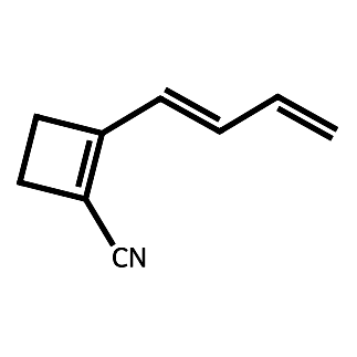 C=CC=CC1=C(C#N)CC1